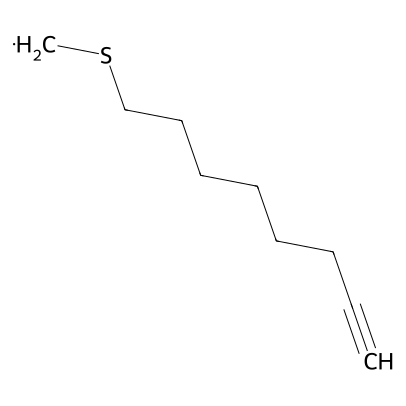 C#CCCCCCCS[CH2]